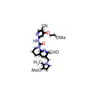 COCCOc1cc(NC(=O)N2CCCc3cc(CN4CCC(OC)C4C)c(C=O)nc32)ncc1C#N